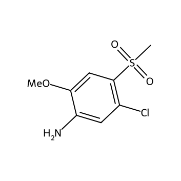 COc1cc(S(C)(=O)=O)c(Cl)cc1N